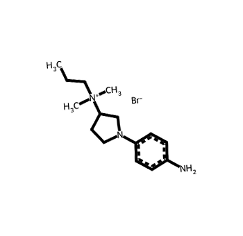 CCC[N+](C)(C)C1CCN(c2ccc(N)cc2)C1.[Br-]